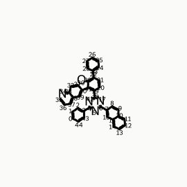 c1ccc(-c2nc(-c3ccc4ccccc4c3)nc(-c3ccc(-c4ccccc4)c4oc5cc6ncccc6cc5c34)n2)cc1